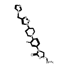 CC(=O)NC[C@H]1CN(c2ccc(N3CCC(n4cc(Cn5ccnc5)nn4)CC3)c(F)c2)C(=O)O1